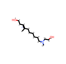 C/C(=C\CCO)CCCCCCN(C)CCO